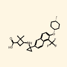 CC1(C)C(NC2(c3ccc4c(C(F)(F)F)c(O[C@H]5CC[C@@H](C)CC5)ccc4c3)CC2)CC1C(=O)O